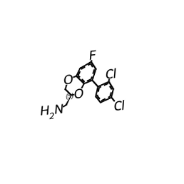 NC[C@H]1COc2cc(F)cc(-c3ccc(Cl)cc3Cl)c2O1